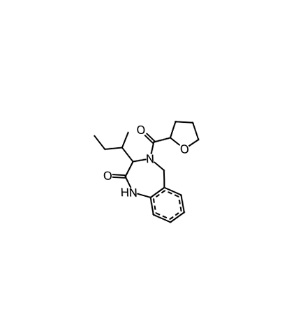 CCC(C)C1C(=O)Nc2ccccc2CN1C(=O)C1CCCO1